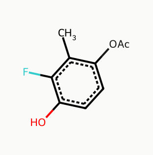 CC(=O)Oc1ccc(O)c(F)c1C